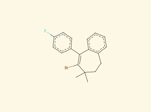 CC1(C)CCc2ccccc2C(c2ccc(F)cc2)=C1Br